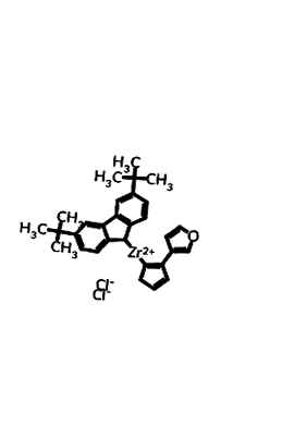 CC(C)(C)c1ccc2c(c1)-c1cc(C(C)(C)C)ccc1[CH]2[Zr+2][C]1=C(c2ccoc2)C=CC1.[Cl-].[Cl-]